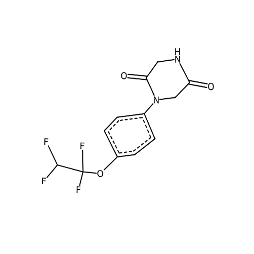 O=C1CN(c2ccc(OC(F)(F)C(F)F)cc2)C(=O)CN1